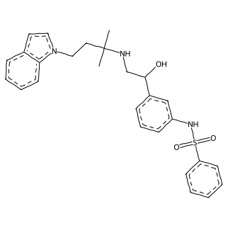 CC(C)(CCn1ccc2ccccc21)NCC(O)c1cccc(NS(=O)(=O)c2ccccc2)c1